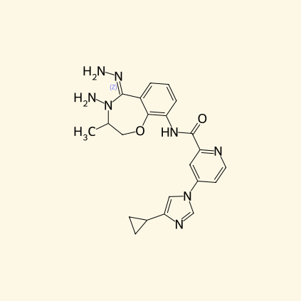 CC1COc2c(NC(=O)c3cc(-n4cnc(C5CC5)c4)ccn3)cccc2/C(=N/N)N1N